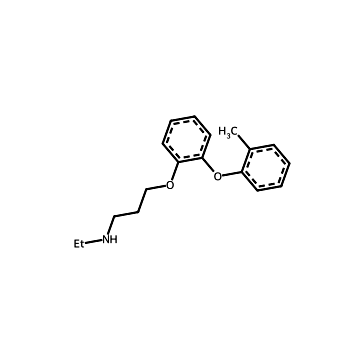 CCNCCCOc1ccccc1Oc1ccccc1C